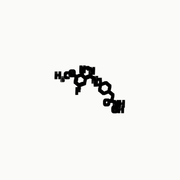 COc1cc(F)cc2c(N3CC4(CCC(CC(=O)NO)CC4)C3)ncnc12